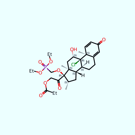 CCOP(=O)(CO[C@]1(C(=O)COC(=O)CC)[C@@H](C)C[C@H]2[C@@H]3CCC4=CC(=O)C=C[C@]4(C)[C@@]3(Cl)[C@@H](O)C[C@@]21C)OCC